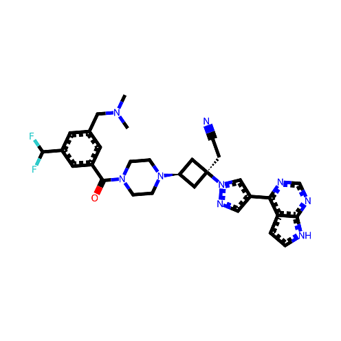 CN(C)Cc1cc(C(=O)N2CCN([C@H]3C[C@@](CC#N)(n4cc(-c5ncnc6[nH]ccc56)cn4)C3)CC2)cc(C(F)F)c1